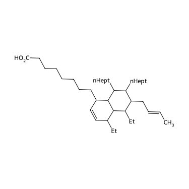 CC=CCC1C(CCCCCCC)C(CCCCCCC)C2C(CCCCCCCC(=O)O)C=CC(CC)C2C1CC